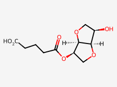 O=C(O)CCCC(=O)O[C@@H]1CO[C@H]2[C@@H]1OC[C@H]2O